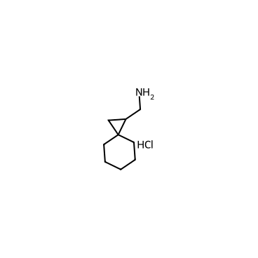 Cl.NCC1CC12CCCCC2